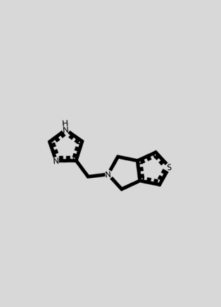 c1nc(CN2Cc3cscc3C2)c[nH]1